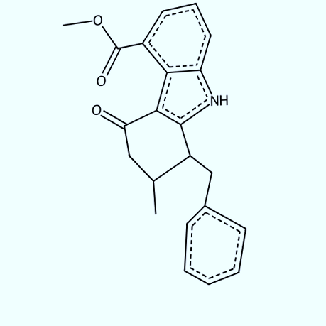 COC(=O)c1cccc2[nH]c3c(c12)C(=O)CC(C)C3Cc1ccccc1